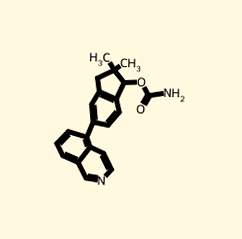 CC1(C)Cc2cc(-c3cccc4cnccc34)ccc2C1OC(N)=O